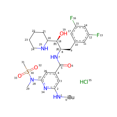 CCC(C)Nc1cc(C(=O)N[C@H](Cc2cc(F)cc(F)c2)[C@H](O)C2CCCCN2)cc(N(C)S(C)(=O)=O)n1.Cl